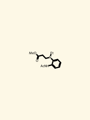 CCN(CCC(=O)OC)c1ccccc1NC(C)=O